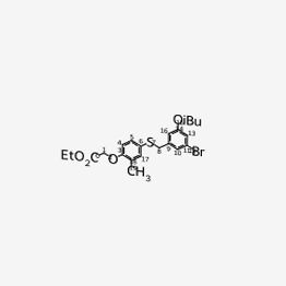 CCOC(=O)COc1ccc(SCc2cc(Br)cc(OCC(C)C)c2)cc1C